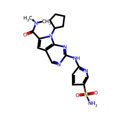 CN(C)C(=O)c1cc2cnc(Nc3ccc(S(N)(=O)=O)cn3)nc2n1C1CCCC1